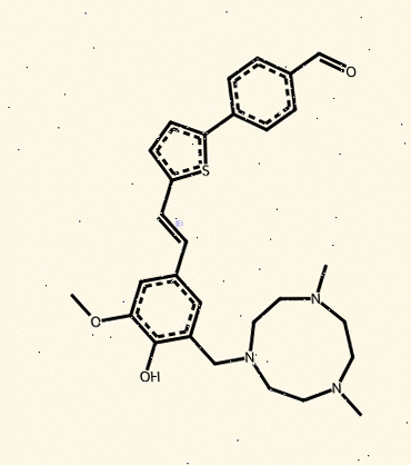 COc1cc(/C=C/c2ccc(-c3ccc(C=O)cc3)s2)cc(CN2CCN(C)CCN(C)CC2)c1O